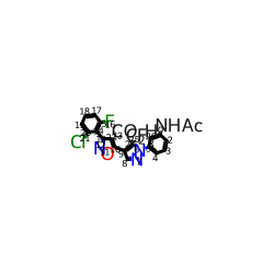 CC(=O)Nc1cccc(-n2ncc(-c3onc(-c4c(F)cccc4Cl)c3C(=O)O)c2C(F)(F)F)c1